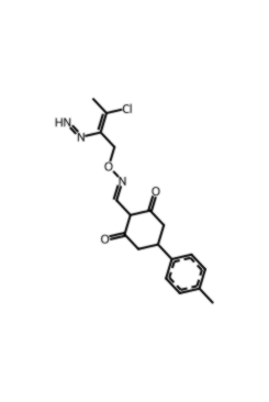 C/C(Cl)=C(/CO/N=C/C1C(=O)CC(c2ccc(C)cc2)CC1=O)N=N